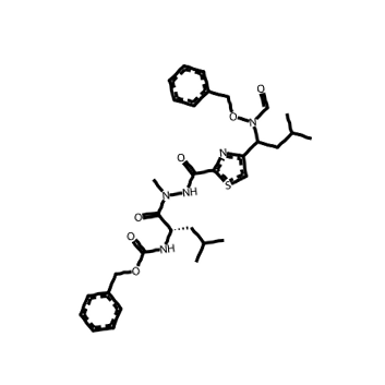 CC(C)CC(c1csc(C(=O)NN(C)C(=O)[C@H](CC(C)C)NC(=O)OCc2ccccc2)n1)N(C=O)OCc1ccccc1